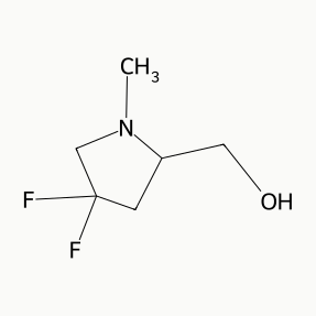 CN1CC(F)(F)CC1CO